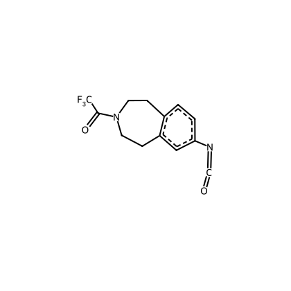 O=C=Nc1ccc2c(c1)CCN(C(=O)C(F)(F)F)CC2